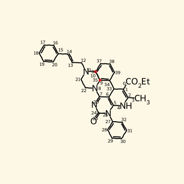 CCOC(=O)C1=C(C)Nc2c(c(N3CCN(CC=Cc4ccccc4)CC3)nc(=O)n2-c2ccccc2)C1c1ccccc1